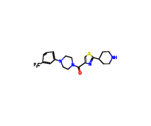 O=C(c1csc(C2CCNCC2)n1)N1CCN(c2cccc(C(F)(F)F)c2)CC1